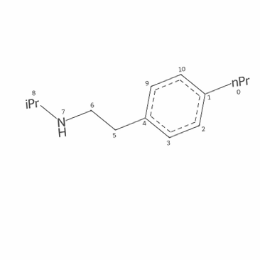 CCCc1ccc(CCNC(C)C)cc1